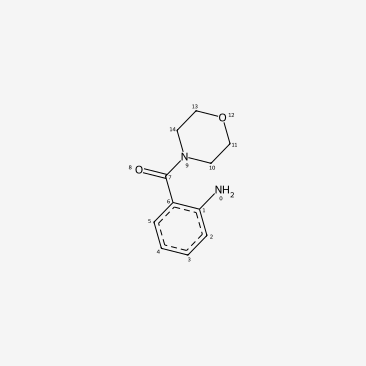 Nc1ccccc1C(=O)N1CCOCC1